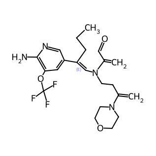 C=C(C=O)N(/C=C(\CCC)c1cnc(N)c(OC(F)(F)F)c1)CCC(=C)N1CCOCC1